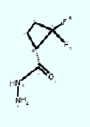 NNC(=O)[C@@H]1CCC1(F)F